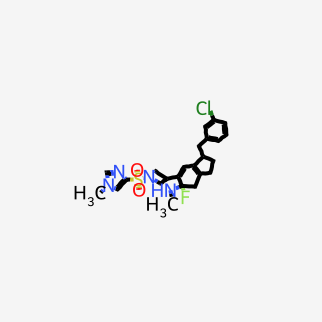 CNC1(F)CC2=C(C=C1C1CN(S(=O)(=O)c3cn(C)cn3)C1)C(Cc1cccc(Cl)c1)CC2